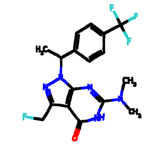 CC(c1ccc(C(F)(F)F)cc1)n1nc(CF)c2c(=O)[nH]c(N(C)C)nc21